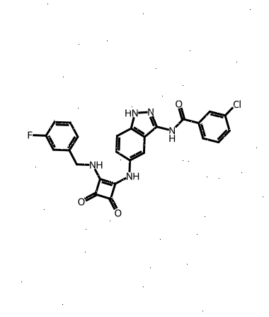 O=C(Nc1n[nH]c2ccc(Nc3c(NCc4cccc(F)c4)c(=O)c3=O)cc12)c1cccc(Cl)c1